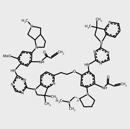 C=CC(=O)Nc1cc(Nc2ncnc(N3CC(C)(C)c4nc(CCOc5cc(N6CCC[C@@H]6CN(C)C)c(NC(=O)C=C)cc5Nc5ncnc(N6CC(C)(C)c7ncccc76)n5)ccc43)n2)c(OC)cc1N1CCC2CN(C)CC21